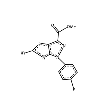 COC(=O)c1nn(-c2ccc(F)cc2)c2nc(C(C)C)sc12